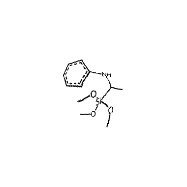 CO[Si](OC)(OC)C(C)Nc1ccccc1